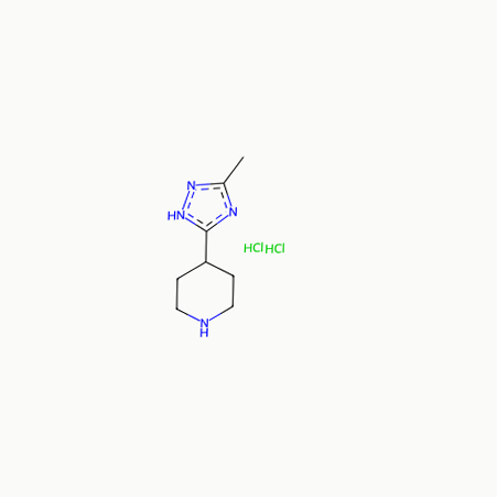 Cc1n[nH]c(C2CCNCC2)n1.Cl.Cl